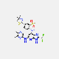 Cc1ncc(Nc2cc(Nc3ccc(C4=NC(C)(C)CS4)cc3S(C)(=O)=O)c3nc(C(F)F)[nH]c3n2)nc1C